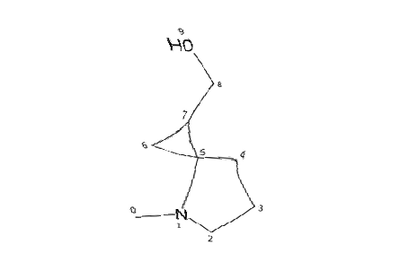 CN1CCCC12CC2CO